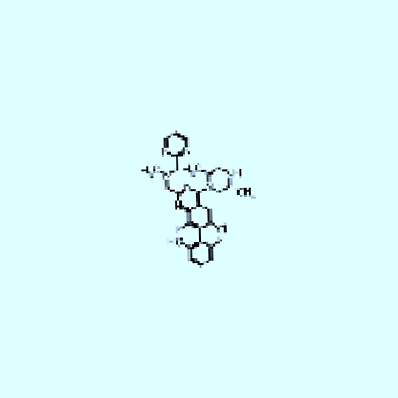 C[C@@H]1CN(c2nc(CN(C)Cc3ncccn3)nc3c(F)c(-c4c(O)cccc4F)c(Cl)cc23)[C@@H](C)CN1